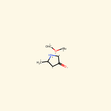 CC(C)(C)OC=O.CC1CC(=O)CN1